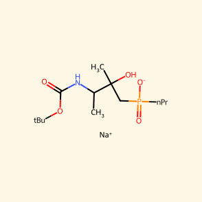 CCCP(=O)([O-])CC(C)(O)C(C)NC(=O)OC(C)(C)C.[Na+]